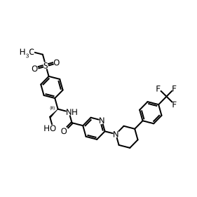 CCS(=O)(=O)c1ccc([C@H](CO)NC(=O)c2ccc(N3CCCC(c4ccc(C(F)(F)F)cc4)C3)nc2)cc1